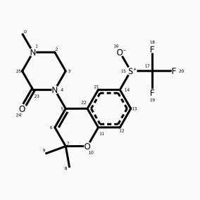 CN1CCN(C2=CC(C)(C)Oc3ccc([S+]([O-])C(F)(F)F)cc32)C(=O)C1